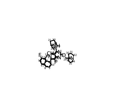 C#Cc1c(F)ccc2cccc(-c3ncc4c(N5CC6CCC(C5)N6)nc(OCC56CCCN5CCC6)nc4c3F)c12